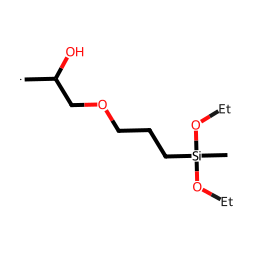 [CH2]C(O)COCCC[Si](C)(OCC)OCC